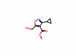 COC(=O)c1c(C2CC2)noc1CO